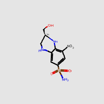 NS(=O)(=O)c1cc2c(c([N+](=O)[O-])c1)N[C@H](CO)CN2